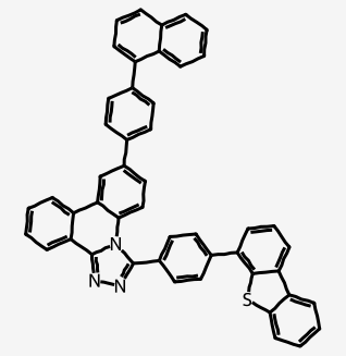 c1ccc2c(-c3ccc(-c4ccc5c(c4)c4ccccc4c4nnc(-c6ccc(-c7cccc8c7sc7ccccc78)cc6)n54)cc3)cccc2c1